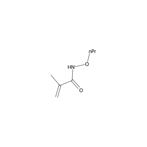 [CH2]CCONC(=O)C(=C)C